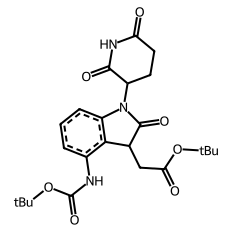 CC(C)(C)OC(=O)CC1C(=O)N(C2CCC(=O)NC2=O)c2cccc(NC(=O)OC(C)(C)C)c21